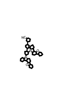 N#Cc1cccc(-c2ccc(-c3ccc(-n4c5ccccc5c5c6oc7ccccc7c6ccc54)cc3-n3c4ccccc4c4c5oc6ccccc6c5ccc43)cc2)c1